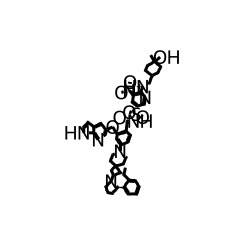 CCc1ccccc1[C@H]1CCCN1C1CC2(CCN(c3ccc(C(=O)NS(=O)(=O)c4cnc(NCC5CCC(C)(O)CC5)c([N+](=O)[O-])c4)c(Oc4cnc5[nH]ccc5c4)c3)CC2)C1